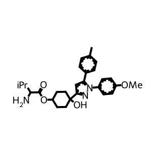 COc1ccc(-n2nc(C3(O)CCC(OC(=O)C(N)C(C)C)CC3)cc2-c2ccc(C)cc2)cc1